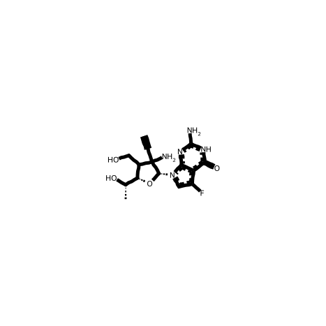 C#CC1(N)C(CO)[C@@H]([C@H](C)O)O[C@H]1n1cc(F)c2c(=O)[nH]c(N)nc21